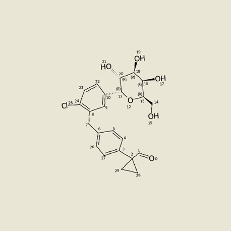 O=CC1(c2ccc(Cc3cc([C@H]4O[C@H](CO)[C@H](O)[C@H](O)[C@H]4O)ccc3Cl)cc2)CC1